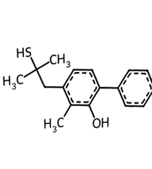 Cc1c(CC(C)(C)S)ccc(-c2ccccc2)c1O